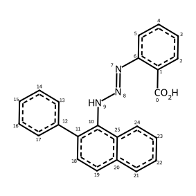 O=C(O)c1ccccc1/N=N/Nc1c(-c2ccccc2)ccc2ccccc12